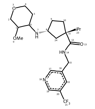 COC1COCCC1N[C@@H]1CC[C@@](C(=O)NCc2cncc(C(F)(F)F)c2)(C(C)C)C1